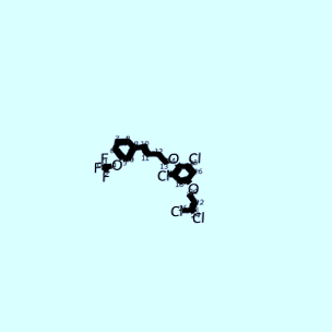 FC(F)(F)Oc1cccc(C=CCCOc2c(Cl)cc(OCC=C(Cl)Cl)cc2Cl)c1